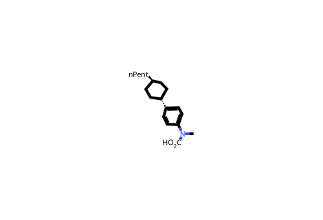 CCCCC[C@H]1CC[C@H](c2ccc(N(C)C(=O)O)cc2)CC1